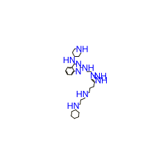 C1=C(CCCNCCCNC2CCCCC2)NNN1CCNc1nc(NC2CCNCC2)c2ccccc2n1